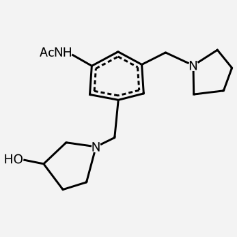 CC(=O)Nc1cc(CN2CCCC2)cc(CN2CCC(O)C2)c1